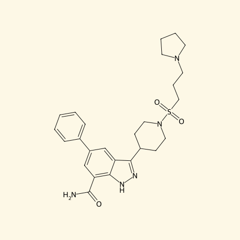 NC(=O)c1cc(-c2ccccc2)cc2c(C3CCN(S(=O)(=O)CCCN4CCCC4)CC3)n[nH]c12